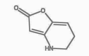 O=C1C=C2NCCC=C2O1